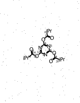 CC(C)C(=O)Oc1nc(OC(=O)C(C)C)nc(OC(=O)C(C)C)n1